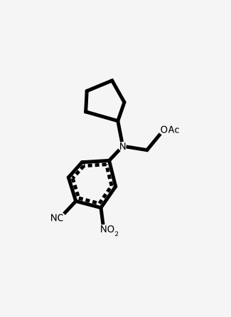 CC(=O)OCN(c1ccc(C#N)c([N+](=O)[O-])c1)C1CCCC1